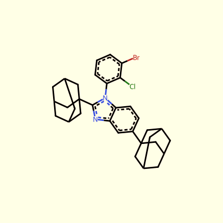 Clc1c(Br)cccc1-n1c(C23CC4CC(CC(C4)C2)C3)nc2cc(C34CC5CC(CC(C5)C3)C4)ccc21